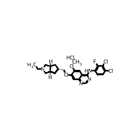 CCN1C[C@H]2C[C@@H](COc3cc4ncnc(Nc5ccc(Cl)c(Cl)c5F)c4cc3OC)C[C@H]2C1.Cl